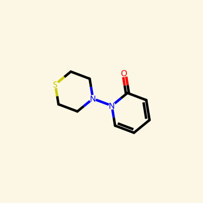 O=c1ccccn1N1CCSCC1